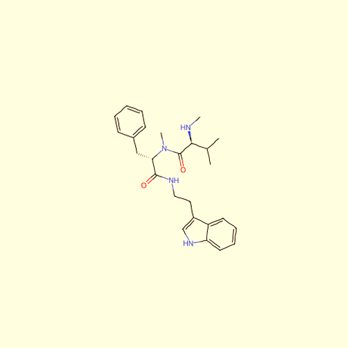 CN[C@H](C(=O)N(C)[C@@H](Cc1ccccc1)C(=O)NCCc1c[nH]c2ccccc12)C(C)C